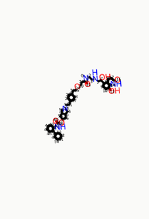 CN(CCNC[C@H](O)c1ccc(O)c2[nH]c(=O)ccc12)C(=O)CCOCCc1ccc(CCN2CC3CC(OC(=O)Nc4ccccc4-c4ccccc4)CC3C2)cc1